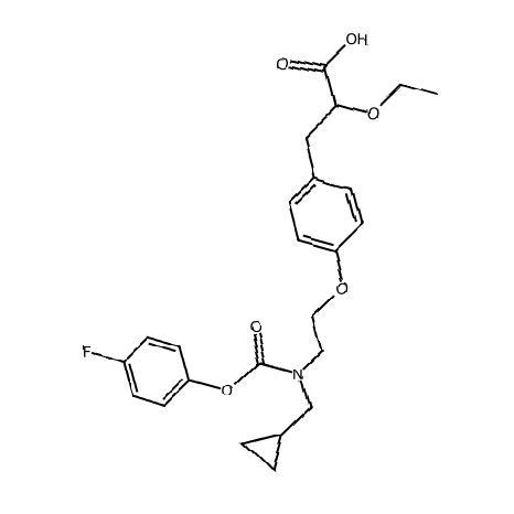 CCOC(Cc1ccc(OCCN(CC2CC2)C(=O)Oc2ccc(F)cc2)cc1)C(=O)O